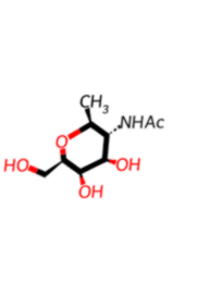 CC(=O)N[C@@H]1[C@@H](O)[C@@H](O)[C@@H](CO)O[C@H]1C